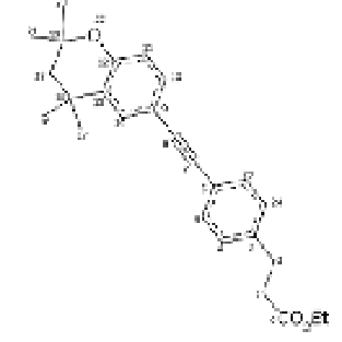 CCOC(=O)CCc1ccc(C#Cc2ccc3c(c2)C(C)(C)CC(C)(C)O3)cc1